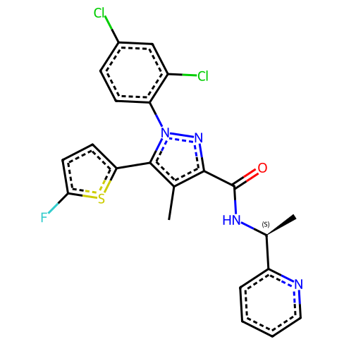 Cc1c(C(=O)N[C@@H](C)c2ccccn2)nn(-c2ccc(Cl)cc2Cl)c1-c1ccc(F)s1